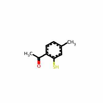 CC(=O)c1ccc(C)cc1S